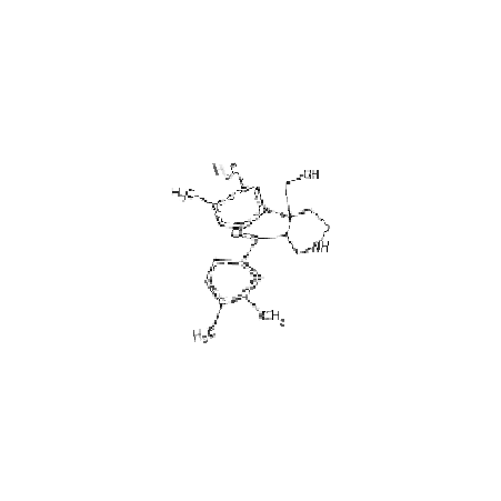 Cc1ccc(C(=O)C2CNCCC2(CO)c2ccc(C)c(C)c2)cc1C